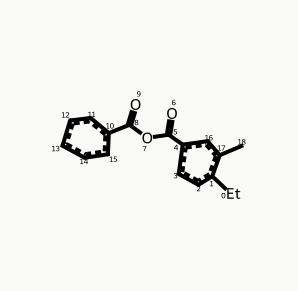 CCc1ccc(C(=O)OC(=O)c2ccccc2)cc1C